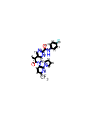 CC(C(=O)N(C)c1ccc(C(F)(F)F)nc1N1CCCC1)c1cnc(C(=O)Nc2ccc(F)cc2)nc1